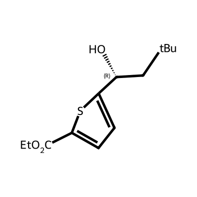 CCOC(=O)c1ccc([C@H](O)CC(C)(C)C)s1